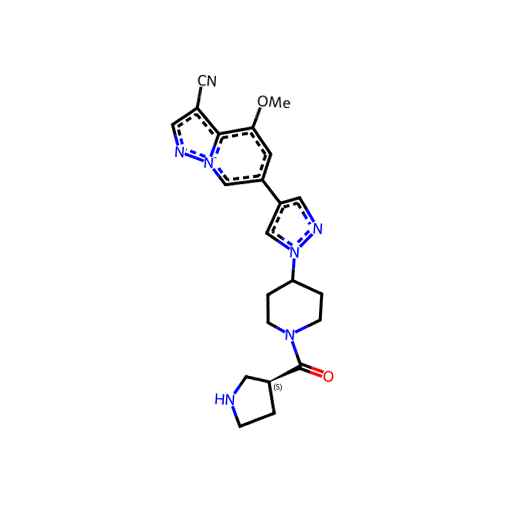 COc1cc(-c2cnn(C3CCN(C(=O)[C@H]4CCNC4)CC3)c2)cn2ncc(C#N)c12